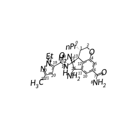 CCC[C@@H]1COc2cc(C(N)=O)cc3c2C1[C@@](N)(NC(=O)c1cc(C)nn1CC)C3N